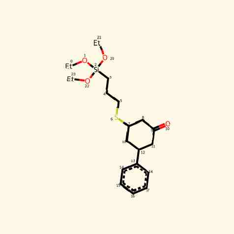 CCO[Si](CCCSC1CC(=O)CC(c2ccccc2)C1)(OCC)OCC